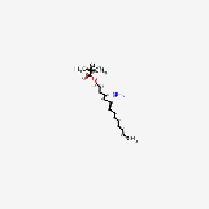 CCCCCCCCCCCCCCOC(=O)C(C)(C)C.N